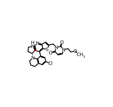 COCCn1ccc(=O)n(Cc2cc3nccc(-c4cc(Cl)cc5c4N([C@@H]4CCNC4)CCC5)c3s2)c1=O